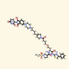 CS(=O)(=O)N1CCC(C(=O)N[C@@H](CCOCCCC(=O)N2CCC(CCCCN3CCN(c4ccc5c(c4)C(=O)N(C4CCC(=O)NC4=O)C5=O)CC3)CC2)C(=O)NC2NC(c3ccccc3)CS2)C1